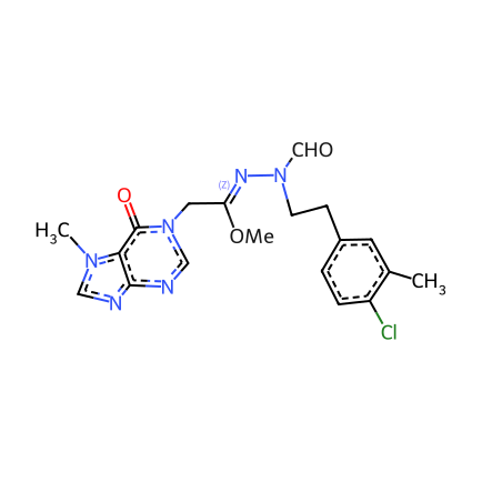 CO/C(Cn1cnc2ncn(C)c2c1=O)=N\N(C=O)CCc1ccc(Cl)c(C)c1